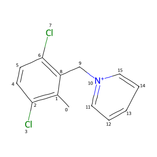 Cc1c(Cl)ccc(Cl)c1C[n+]1ccccc1